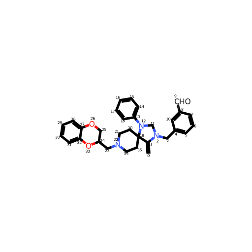 C=C1N(Cc2cccc(C=O)c2)CN(c2ccccc2)C12CCN(CC1COc3ccccc3O1)CC2